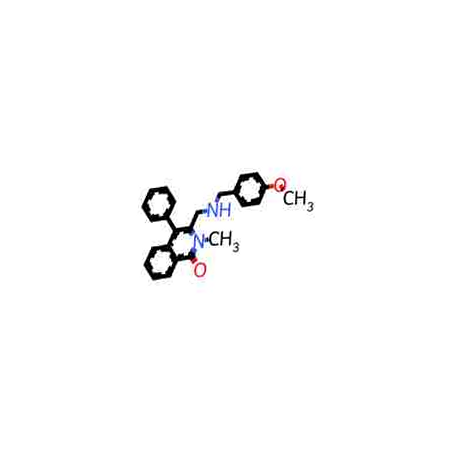 COc1ccc(CNCc2c(-c3ccccc3)c3ccccc3c(=O)n2C)cc1